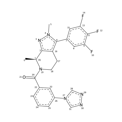 C[C@H]1c2nn(C)c(-c3cc(F)c(F)c(F)c3)c2CCN1C(=O)c1cccc(-n2cnnc2)c1